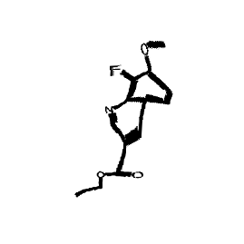 CCOC(=O)c1cnc2c(F)c(OC)ccc2c1